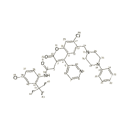 O=C(Cc1c(-c2cccnc2)c2cc(CN3CCN(c4ccccc4)CC3)c(Cl)cc2oc1=O)Nc1ccc(Cl)cc1C(F)(F)F